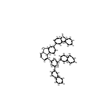 C1=CC2Oc3cc(-c4ccc5sc6ccccc6c5c4)ccc3C2C(c2nc(-c3ccc4ccccc4c3)nc(-c3ccc4ccccc4c3)n2)=C1